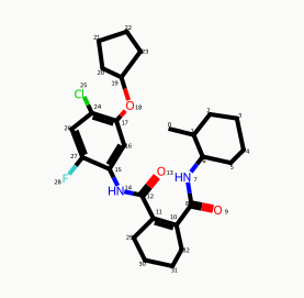 CC1CCCCC1NC(=O)C1=C(C(=O)Nc2cc(OC3CCCC3)c(Cl)cc2F)CCCC1